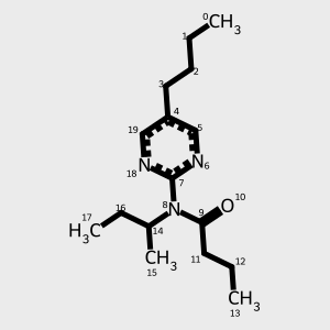 CCCCc1cnc(N(C(=O)CCC)C(C)CC)nc1